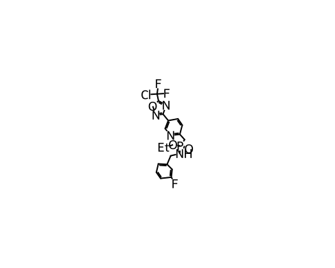 CCOP(=O)(Cc1ccc(-c2noc(C(F)(F)Cl)n2)cn1)NCc1cccc(F)c1